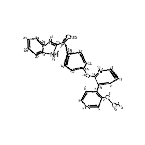 COc1cnccc1-c1cccnc1Oc1ccc(C(=O)c2nc3ccccc3[nH]2)cc1